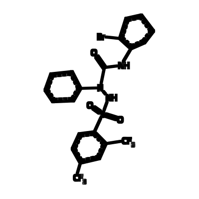 O=C(Nc1ccccc1Br)N(NS(=O)(=O)c1ccc(C(F)(F)F)cc1C(F)(F)F)c1ccccc1